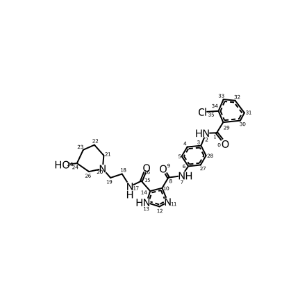 O=C(Nc1ccc(NC(=O)c2nc[nH]c2C(=O)NCCN2CCCC(O)C2)cc1)c1ccccc1Cl